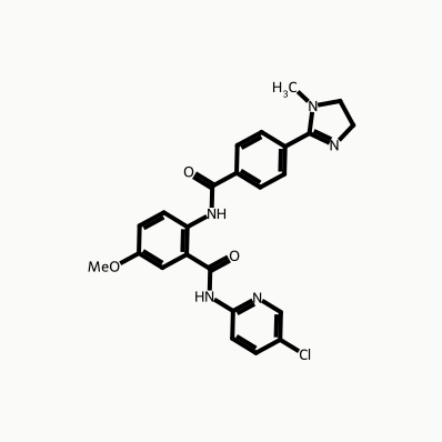 COc1ccc(NC(=O)c2ccc(C3=NCCN3C)cc2)c(C(=O)Nc2ccc(Cl)cn2)c1